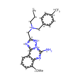 COc1cccc2c1nc(N)n1nc(CN(CCC(C)C)Cc3ccc(C(F)(F)F)cc3)nc21